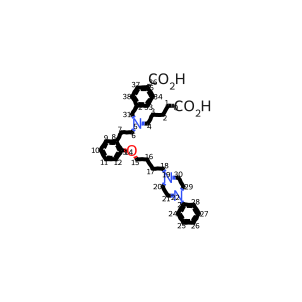 O=C(O)CCCCN(CCc1ccccc1OCCCCN1CCN(c2ccccc2)CC1)Cc1ccc(C(=O)O)cc1